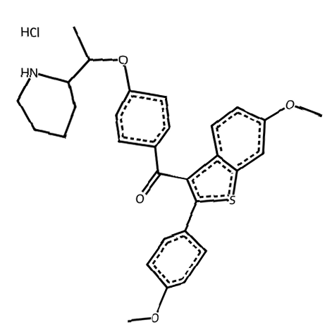 COc1ccc(-c2sc3cc(OC)ccc3c2C(=O)c2ccc(OC(C)C3CCCCN3)cc2)cc1.Cl